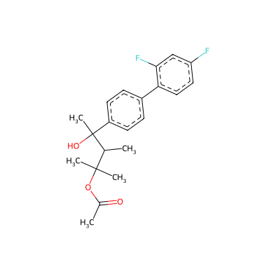 CC(=O)OC(C)(C)C(C)C(C)(O)c1ccc(-c2ccc(F)cc2F)cc1